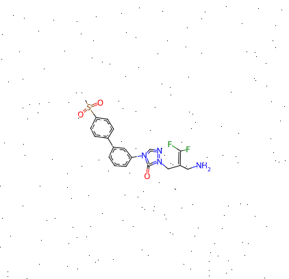 CS(=O)(=O)c1ccc(-c2cccc(-n3cnn(CC(CN)=C(F)F)c3=O)c2)cc1